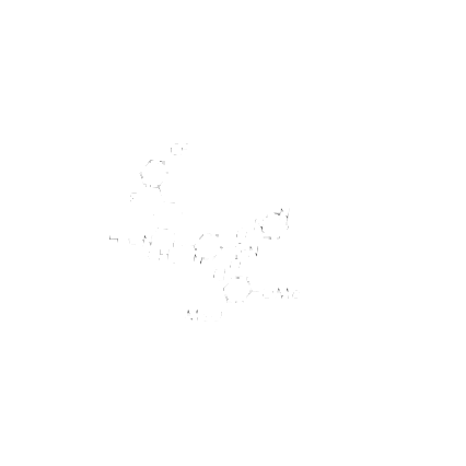 COc1ccc(CN(c2ccncn2)S(=O)(=O)c2ccc(O[C@H]3CC[C@H](c4cc(C(F)(F)F)ccc4F)C[C@@H]3N(C)C)nc2Cl)c(OC)c1